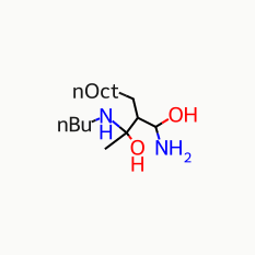 CCCCCCCCCC(C(N)O)C(C)(O)NCCCC